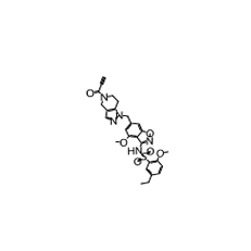 C#CC(=O)N1CCc2c(cnn2Cc2cc(OC)c3c(NS(=O)(=O)c4cc(CC)ccc4OC)noc3c2)C1